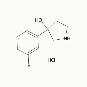 Cl.OC1(c2cccc(F)c2)CCNC1